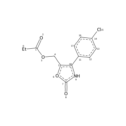 CCC(=O)OCc1oc(=O)[nH]c1-c1ccc(Cl)cc1